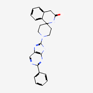 O=C1Cc2ccccc2C2(CCN(c3nc4cnc(-c5ccccc5)nc4[nH]3)CC2)N1